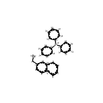 BrCc1ccc2ccccc2c1.c1ccc(P(c2ccccc2)c2ccccc2)cc1